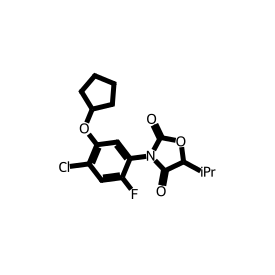 CC(C)C1OC(=O)N(c2cc(OC3CCCC3)c(Cl)cc2F)C1=O